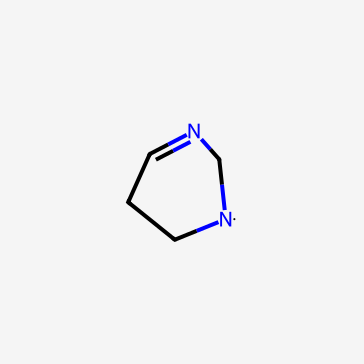 C1=NC[N]CC1